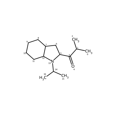 CC(C)C(=O)C1CC2CCCCC2N1C(C)C